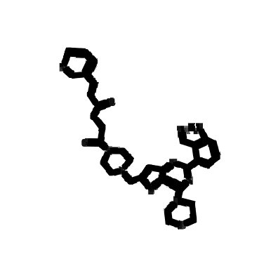 N=Cc1c(N)cccc1-c1nc(N2CCOCC2)c2sc(CN3CCN(C(=O)CCC(=O)/C=C/c4cccnc4)CC3)cc2n1